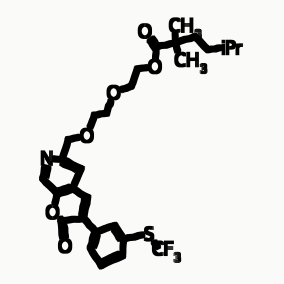 CC(C)CCC(C)(C)C(=O)OCCOCCOCc1cc2cc(-c3cccc(SC(F)(F)F)c3)c(=O)oc2cn1